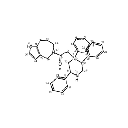 O=C(C[N+]1(c2ccccc2)CC(c2ccccc2)NCC1c1ccccc1)N1CCCc2[nH]ccc2C1